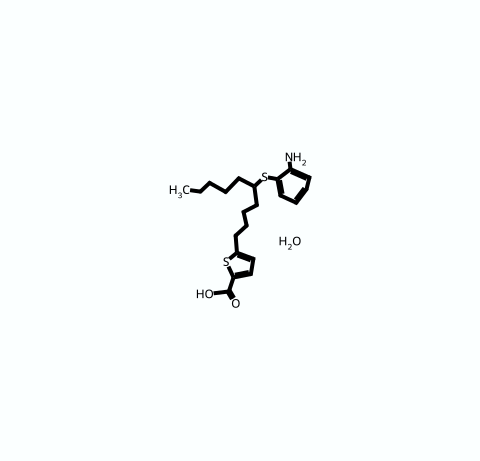 CCCCCC(CCCCc1ccc(C(=O)O)s1)Sc1ccccc1N.O